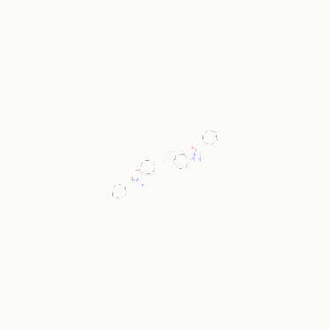 Cc1ccc(-c2nc3cc(C(C)(c4ccc5nc(-c6ccc(C)cc6)oc5c4)C(F)(F)F)ccc3o2)cc1